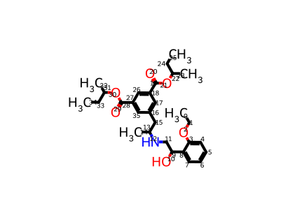 CCOc1ccccc1C(O)CNC(C)Cc1cc(C(=O)OC(C)CC)cc(C(=O)OC(C)CC)c1